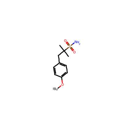 CC(C)(C)Oc1ccc(CC(C)(C)S(N)(=O)=O)cc1